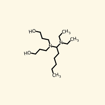 CCCCCC(N(CC)CC)N(CCCO)CCCO